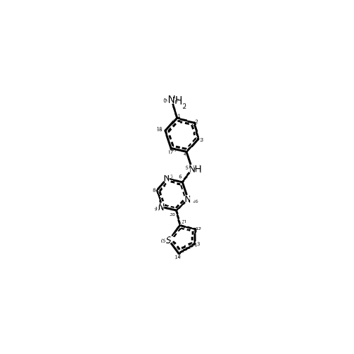 Nc1ccc(Nc2ncnc(-c3cccs3)n2)cc1